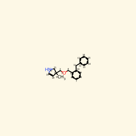 CC1(COCc2ccccc2Cc2ccccc2)C=CNC1